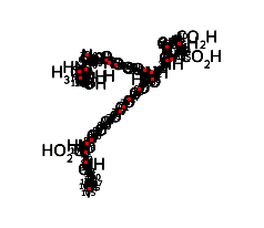 CC(NC(=O)c1ccnc2cc(OCC(=O)NCCOCCOCCOCCC(=O)NC(CCCCNC(=O)CN3CCN(CC(=O)O)CCN(CC(=O)O)CCN(CC(=O)O)CC3)C(=O)NCCOCCOCCOCCOCCOCCOCCOCCOCCC(=O)NC(CCCCNC(=O)CCCc3ccc(I)cc3)C(=O)O)ccc12)C(=O)N1CCC[C@H]1B(O)O